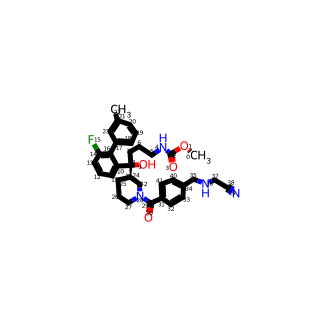 COC(=O)NCCCC(O)(c1cccc(F)c1-c1cccc(C)c1)[C@@H]1CCCN(C(=O)c2ccc(CNCC#N)cc2)C1